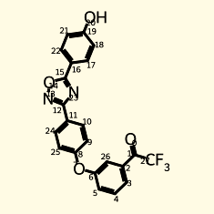 O=C(c1cccc(Oc2ccc(-c3noc(-c4ccc(O)cc4)n3)cc2)c1)C(F)(F)F